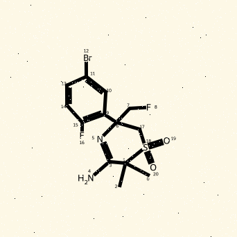 CC1(C)C(N)=NC(CF)(c2cc(Br)ccc2F)CS1(=O)=O